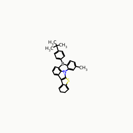 Cc1ccc2c(c1)-n1c3sc4c(c3c3cccc(c31)B2c1ccc(C(C)(C)C)cc1)=CCCC=4